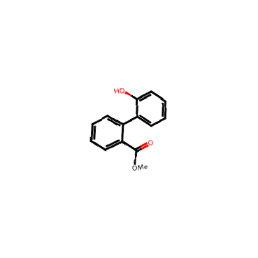 COC(=O)c1ccccc1-c1ccccc1O